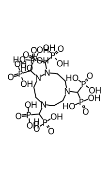 O=P(O)(O)C(N1CCN(C(P(=O)(O)O)P(=O)(O)O)CCN(C(P(=O)(O)O)P(=O)(O)O)N(C(P(=O)(O)O)P(=O)(O)O)CC1)P(=O)(O)O